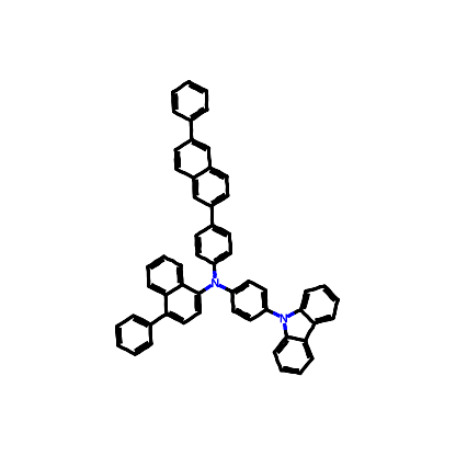 c1ccc(-c2ccc3cc(-c4ccc(N(c5ccc(-n6c7ccccc7c7ccccc76)cc5)c5ccc(-c6ccccc6)c6ccccc56)cc4)ccc3c2)cc1